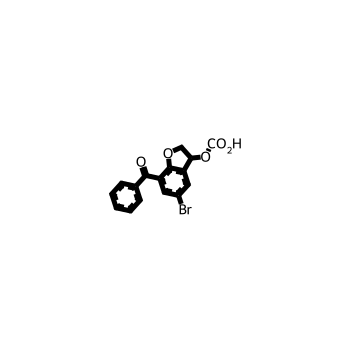 O=C(O)OC1COc2c(C(=O)c3ccccc3)cc(Br)cc21